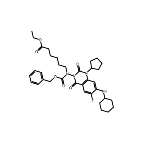 CCOC(=O)CCCCCN(C(=O)OCc1ccccc1)n1c(=O)c2cc(F)c(NC3CCCCC3)cc2n(C2CCCC2)c1=O